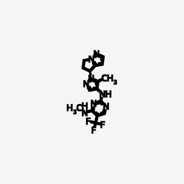 CNc1nc(Nc2cnn([C@H]3CCn4nccc43)c2C)ncc1C(F)(F)F